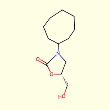 O=C1O[C@@H](CO)CN1C1CCCCCCC1